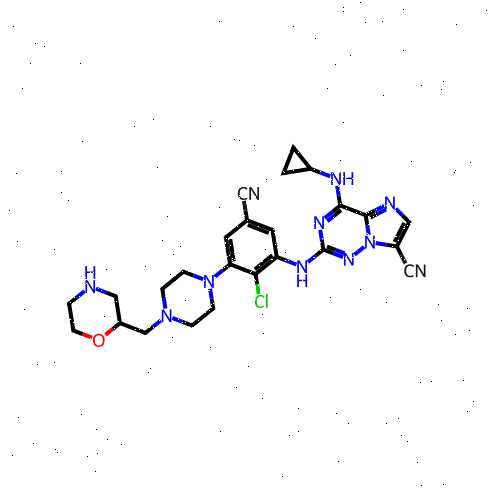 N#Cc1cc(Nc2nc(NC3CC3)c3ncc(C#N)n3n2)c(Cl)c(N2CCN(CC3CNCCO3)CC2)c1